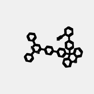 N#Cc1ccccc1-c1ccc(C2(c3ccc(-c4ccc(-c5cc(-c6ccccc6)nc(-c6ccccc6)n5)cc4)cc3)c3ccccc3Oc3ccccc32)cc1